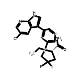 NC(=O)[C@@H]1CC(F)(F)C[N+]1(CC(F)(F)F)c1cncc(-c2c[nH]c3ncc(Cl)cc23)n1